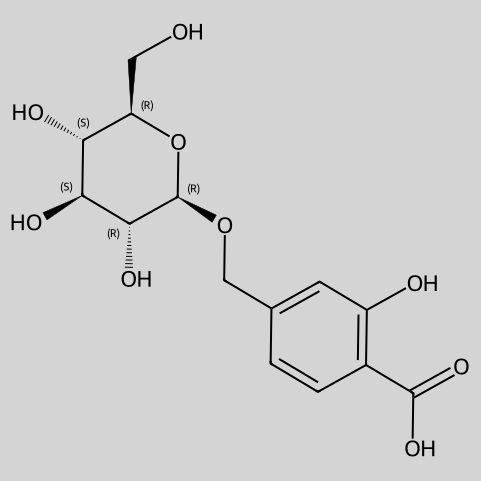 O=C(O)c1ccc(CO[C@@H]2O[C@H](CO)[C@@H](O)[C@H](O)[C@H]2O)cc1O